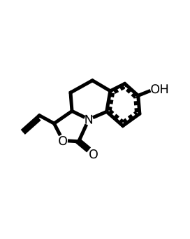 C=CC1OC(=O)N2c3ccc(O)cc3CCC12